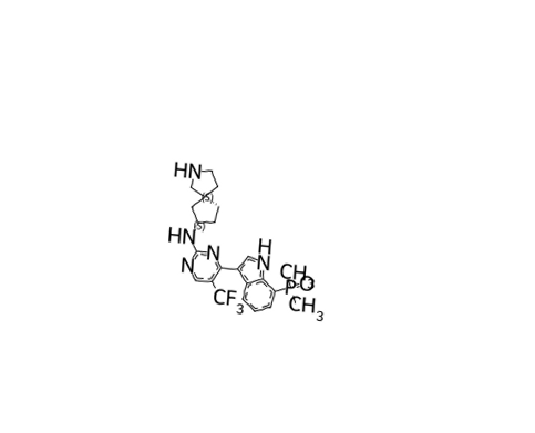 CP(C)(=O)c1cccc2c(-c3nc(N[C@H]4CC[C@]5(CCNC5)C4)ncc3C(F)(F)F)c[nH]c12